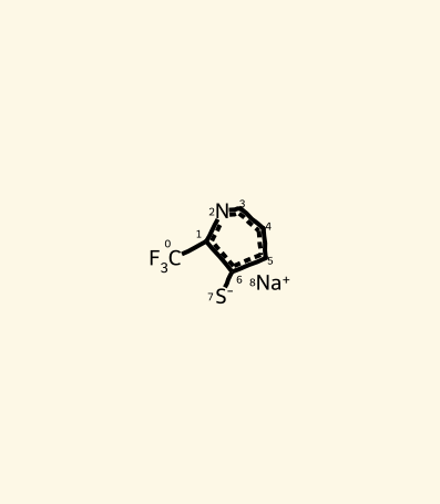 FC(F)(F)c1ncccc1[S-].[Na+]